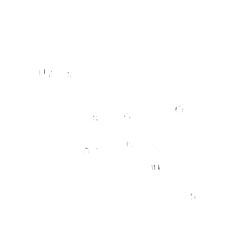 Cn1cc(CN2CCOC[C@H]2C(=O)Nc2cc(Cl)cc3c2[nH]c2cnccc23)c2ccccc21